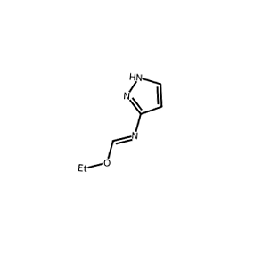 CCOC=Nc1cc[nH]n1